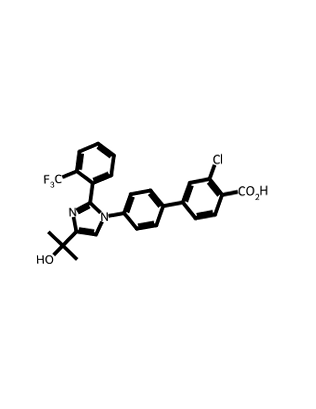 CC(C)(O)c1cn(-c2ccc(-c3ccc(C(=O)O)c(Cl)c3)cc2)c(-c2ccccc2C(F)(F)F)n1